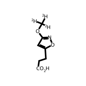 [2H]C([2H])([2H])Oc1cc(CCC(=O)O)on1